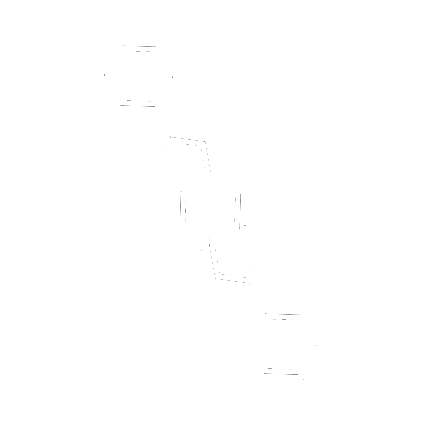 c1ccc(-c2cc3cc4sc(-c5ccccc5)cc4cc3s2)cc1